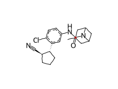 CC1CC2CC(C1)N2C(=O)Nc1ccc(Cl)c([C@@H]2CCC[C@H]2C#N)c1